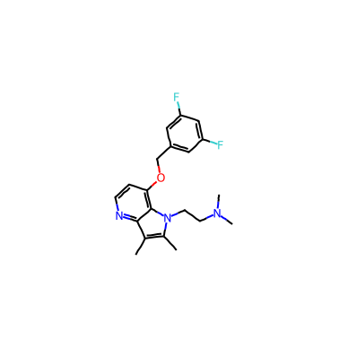 Cc1c(C)n(CCN(C)C)c2c(OCc3cc(F)cc(F)c3)ccnc12